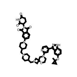 CC1(Oc2ccc3[nH]nc(-c4ccnc(N5CCOC6(CN(CC7CCN(CC8CCN(c9ccc%10c(c9)C(=O)N(C9CCC(=O)NC9=O)C%10=O)CC8)CC7)C6)C5)c4)c3c2)CC1